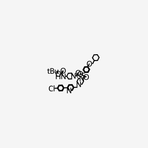 CC(C)(C)OC(=O)NC1CCN(C(=O)[C@@H]2CN(Cc3ccc(-c4ccc(Cl)cc4)nc3)CCN2S(=O)(=O)c2ccc(OCC3CCCCC3)cc2)CC1